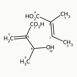 C/C=C(\C)C(=O)O.C=C(C(=O)O)C(C)O